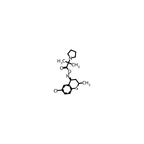 CC1C/C(=N\OC(=O)C(C)(C)N2CCCC2)c2cc(Cl)ccc2S1